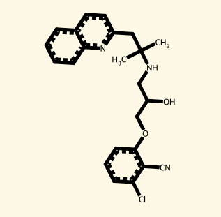 CC(C)(Cc1ccc2ccccc2n1)NCC(O)COc1cccc(Cl)c1C#N